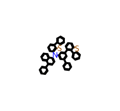 c1ccc(-c2cc(-c3cccc4sc5ccccc5c34)cc(N(c3ccc(-c4ccccc4)c4ccccc34)c3cccc4c3sc3ccccc34)c2)cc1